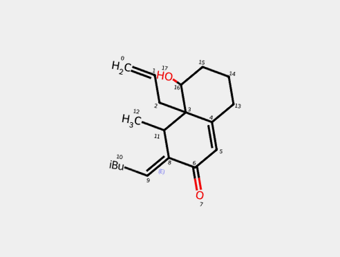 C=CCC12C(=CC(=O)/C(=C/C(C)CC)C1C)CCCC2O